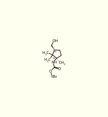 CC(C)(C)OC(=O)N[C@]1(C)CC[C@H](CO)C1(C)C